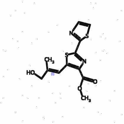 COC(=O)c1nc(-c2nccs2)sc1/C=C(\C)CO